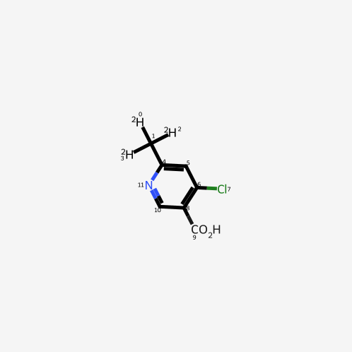 [2H]C([2H])([2H])c1cc(Cl)c(C(=O)O)cn1